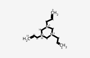 C=CCN1CN(CC=C)CN(CC=C)C1